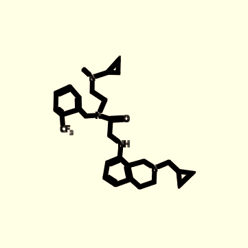 CN(CCN(Cc1ccccc1C(F)(F)F)C(=O)CNc1cccc2c1CN(CC1CC1)CC2)C1CC1